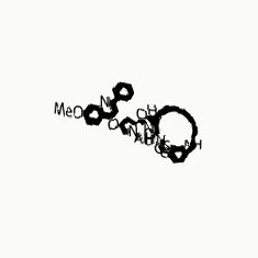 COc1ccc2c(O[C@@H]3C[C@@H](C(=O)N[C@]45C[C@H]4/C=C\CCCCCc4cc6cccc(c6[nH]4)S(=O)(=O)NC5=O)N(C(C)=O)C3)cc(-c3ccccc3)nc2c1